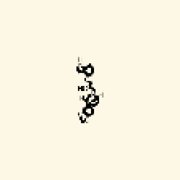 O[C@H](COc1cccc2[nH]ccc12)CN1C[C@@H]2C/C=C\C[C@H]1CN2c1ccc2c(c1)OCCO2